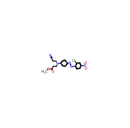 COC(=O)CCN(CCC#N)c1ccc(N=Nc2ccc([N+](=O)[O-])cc2Cl)cc1